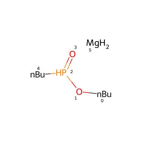 CCCCO[PH](=O)CCCC.[MgH2]